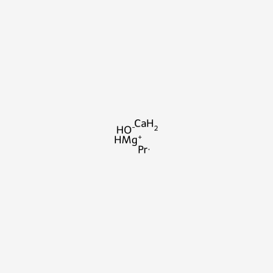 [CaH2].[MgH+].[OH-].[Pr]